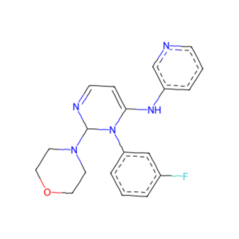 Fc1cccc(N2C(Nc3cccnc3)=CC=NC2N2CCOCC2)c1